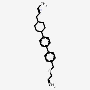 C=CCOCc1ccc(-c2ccc(C3CCC(C/C=C/C)CC3)cc2)cc1